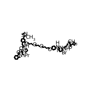 Cc1ncsc1-c1ccc(CNC(=O)[C@@H]2CCCN2C(=O)C(C(C)C)N2Cc3ccccc3C2=O)c(OCCCCOCCCOCCCCOc2ccc(Nc3ncc(Br)c(NCCCN(C)C(=O)C4CCC4)n3)cc2)c1